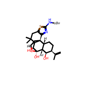 C=C(C)[C@@H]1CC[C@H]2[C@@]34CCO[C@@](O)([C@@H](O)[C@@H]3C(C)(C)Cc3sc(NCCCC)nc34)[C@@]2(C(C)=O)[C@@H]1O